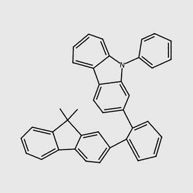 CC1(C)c2ccccc2-c2ccc(-c3ccccc3-c3ccc4c5ccccc5n(-c5ccccc5)c4c3)cc21